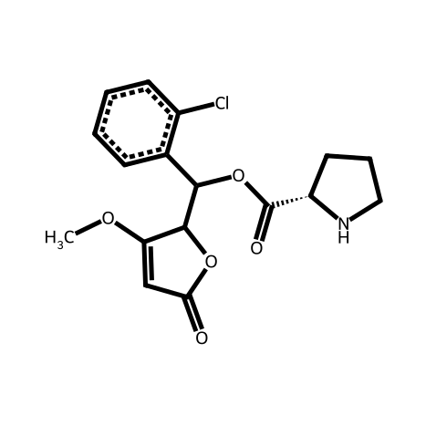 COC1=CC(=O)OC1C(OC(=O)[C@@H]1CCCN1)c1ccccc1Cl